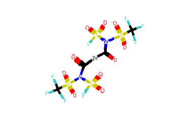 O=[C]([Zn][C](=O)N(S(=O)(=O)F)S(=O)(=O)C(F)(F)F)N(S(=O)(=O)F)S(=O)(=O)C(F)(F)F